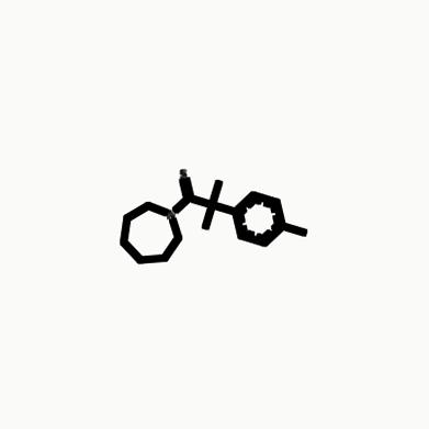 Cc1ccc(C(C)(C)C(=S)N2CCCCCC2)cc1